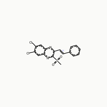 CS(=O)(=O)c1nc2cc(Cl)c(Cl)cc2nc1/C=C/c1ccccc1